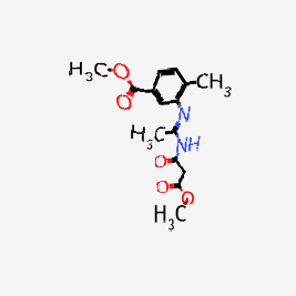 COC(=O)CC(=O)N/C(C)=N/c1cc(C(=O)OC)ccc1C